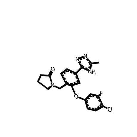 Cc1nnc(-c2ccc(CN3CCCC3=O)c(Oc3ccc(Cl)c(F)c3)c2)[nH]1